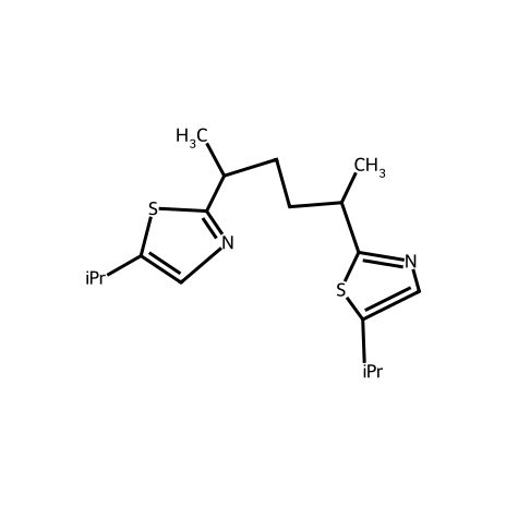 CC(C)c1cnc(C(C)CCC(C)c2ncc(C(C)C)s2)s1